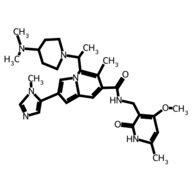 COc1cc(C)[nH]c(=O)c1CNC(=O)c1cc2cc(-c3cncn3C)cn2c(C(C)N2CCC(N(C)C)CC2)c1C